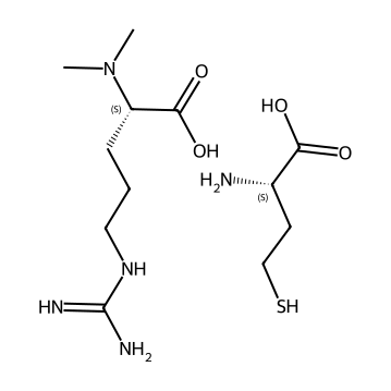 CN(C)[C@@H](CCCNC(=N)N)C(=O)O.N[C@@H](CCS)C(=O)O